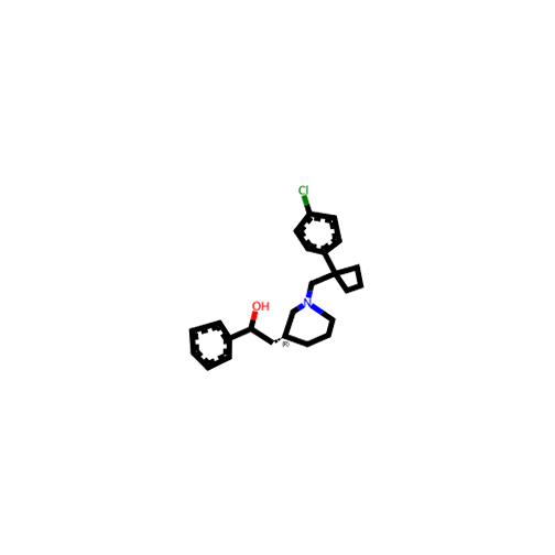 OC(C[C@H]1CCCN(CC2(c3ccc(Cl)cc3)CCC2)C1)c1ccccc1